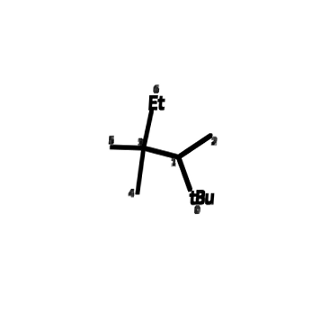 [CH2]C(C)(C)C(C)C(C)(C)CC